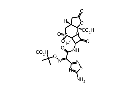 CC(C)(O/N=C(\C(=O)N[C@@H]1C(=O)N2[C@@H]1S(=O)(=O)C[C@@H]1CC(=O)O[C@@]12C(=O)O)c1nsc(N)n1)C(=O)O